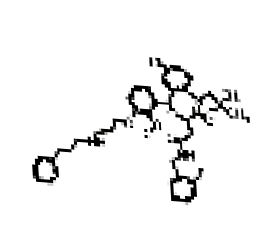 COc1c(OCCCNCCCc2ccccc2)cccc1C1OC(CC(=O)NCc2ccccc2F)C(=O)N(CC(C)(C)C)c2ccc(Cl)cc21